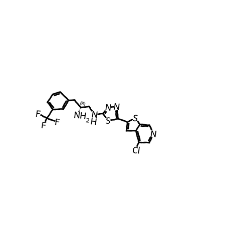 N[C@@H](CNc1nnc(-c2cc3c(Cl)cncc3s2)s1)Cc1cccc(C(F)(F)F)c1